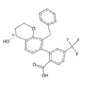 O=C(O)c1ccc(C(F)(F)F)cc1-c1ccc2c(c1Cc1ccccc1)OCC[C@H]2O